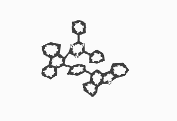 c1ccc(-c2nc(-c3ccccc3)nc(-c3c(-c4ccc(-c5cc6c7ccccc7oc6c6ccccc56)cc4)c4ccccc4c4ccccc34)n2)cc1